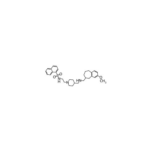 COc1ccc2c(c1)CC(CNCC1CCN(CCNS(=O)(=O)c3cccc4ccccc34)CC1)CCC2